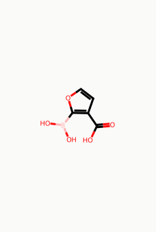 O=C(O)c1ccoc1B(O)O